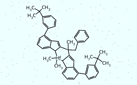 CC1(Cc2ccccc2)C2=Cc3c(-c4cccc(C(C)(C)C)c4)cccc3[CH]2[Hf]([CH3])([CH3])[CH]2C1=Cc1c(-c3cccc(C(C)(C)C)c3)cccc12